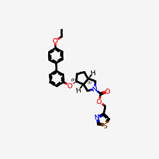 CCOc1ccc(-c2cccc(O[C@@H]3CC[C@@H]4CN(C(=O)OCc5cscn5)C[C@@H]43)c2)cc1